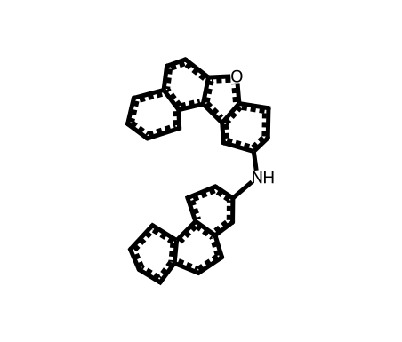 c1ccc2c(c1)ccc1cc(Nc3ccc4oc5ccc6ccccc6c5c4c3)ccc12